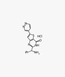 CC(C)C(N)c1nc2cc(-c3ccnnc3)sc2c(=O)[nH]1.Cl